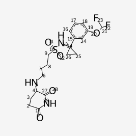 O=C1CCC(NCCCCS(=O)(=O)NC2(c3cccc(OC(F)F)c3)CC2)C(=O)N1